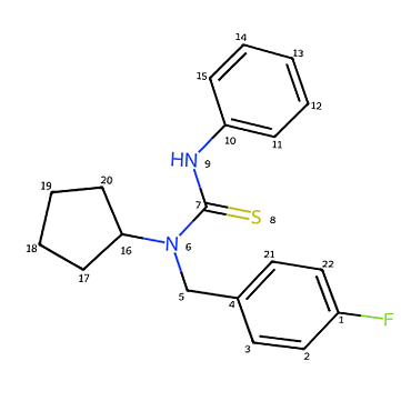 Fc1ccc(CN(C(=S)Nc2ccccc2)C2CCCC2)cc1